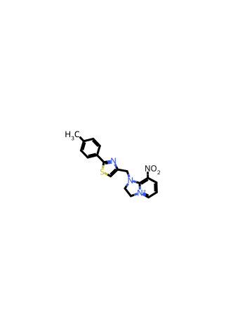 Cc1ccc(-c2nc(CN3CC[n+]4cccc([N+](=O)[O-])c43)cs2)cc1